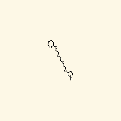 C1CCC(OCCOCCOCCOC2CCNC2)OC1